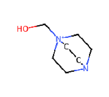 OC[N+]12CCN(CC1)CC2